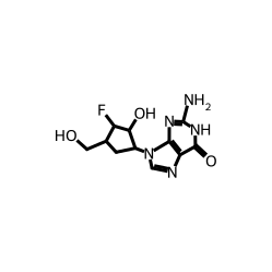 Nc1nc2c(ncn2C2CC(CO)C(F)C2O)c(=O)[nH]1